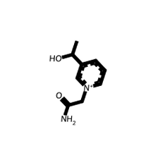 CC(O)c1ccc[n+](CC(N)=O)c1